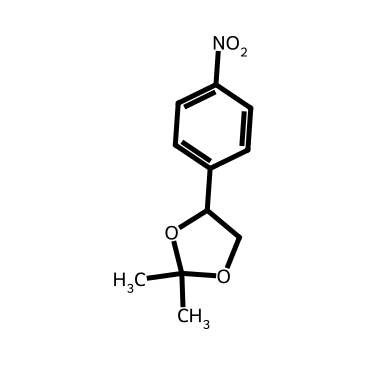 CC1(C)OCC(c2ccc([N+](=O)[O-])cc2)O1